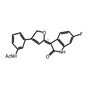 CC(=O)Nc1cccc(C2=C/C(=C3\C(=O)Nc4cc(F)ccc43)OC2)c1